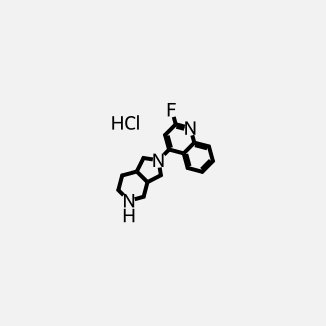 Cl.Fc1cc(N2CC3CCNCC3C2)c2ccccc2n1